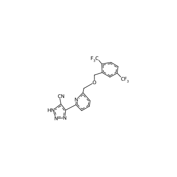 N#Cc1[nH]nnc1-c1cccc(COCc2cc(C(F)(F)F)ccc2C(F)(F)F)n1